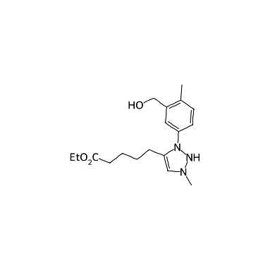 CCOC(=O)CCCCC1=CN(C)NN1c1ccc(C)c(CO)c1